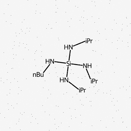 CCCCN[Si](NC(C)C)(NC(C)C)NC(C)C